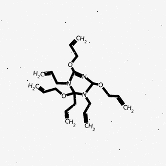 C=CCOC1=NC(OCC=C)N(CC=C)C(CC=C)(OCC=C)N1CC=C